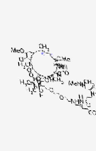 CNN(C)Cc1cc2ccccc2n1CCC(=O)N[C@@H](CCC(=O)O)CNCCOCCOCCP(=O)(O)N(C)[C@@H](C)C(=O)O[C@H]1CC(=O)N(C)c2cc(cc(OC)c2Cl)C/C(C)=C/C=C/[C@@H](OC)[C@@]2(O)C[C@H](OC(=O)N2)[C@@H](C)[C@@H]2O[C@@]12C